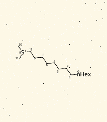 CCCCCCCCCCCCCC[S+](C)C